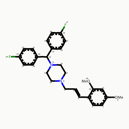 COc1ccc(C=CCN2CCN(C(c3ccc(F)cc3)c3ccc(F)cc3)CC2)c(OC)c1